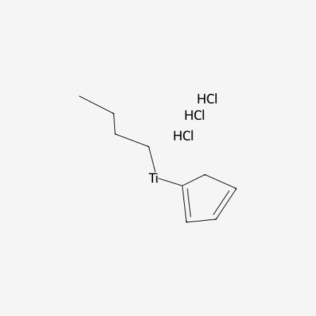 CCC[CH2][Ti][C]1=CC=CC1.Cl.Cl.Cl